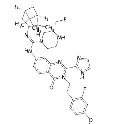 COc1ccc(CCn2c(-c3ncc[nH]3)nc3cc(N/C(=N/C4C[C@H]5C[C@@H]([C@@H]4C)C5(C)C)N4CCN[C@@H](CF)C4)ccc3c2=O)c(F)c1